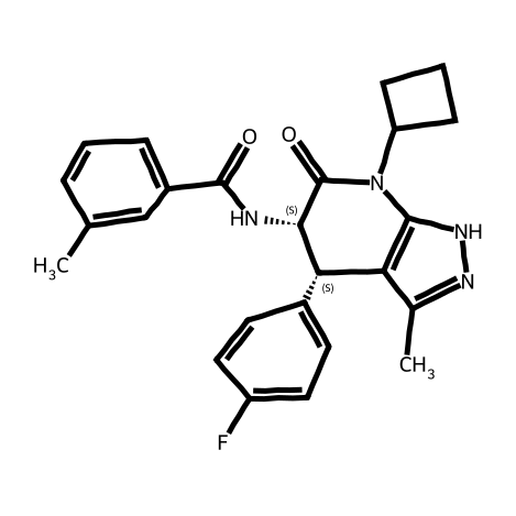 Cc1cccc(C(=O)N[C@@H]2C(=O)N(C3CCC3)c3[nH]nc(C)c3[C@@H]2c2ccc(F)cc2)c1